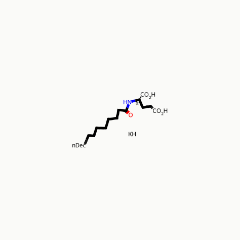 CCCCCCCCCCCCCCCCCC(=O)N[C@@H](CCC(=O)O)C(=O)O.[KH]